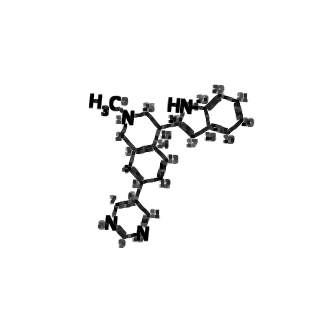 CN1Cc2cc(-c3cncnc3)ccc2C(c2cc3ccccc3[nH]2)C1